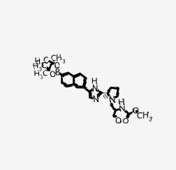 COC(=O)NC(C=O)CN1CCC[C@H]1c1ncc(-c2ccc3cc(B4OC(C)(C)C(C)(C)O4)ccc3c2)[nH]1